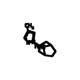 Cc1cnn(C2CC3CCC(C2)N3C)c1